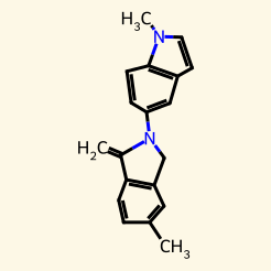 C=C1c2ccc(C)cc2CN1c1ccc2c(ccn2C)c1